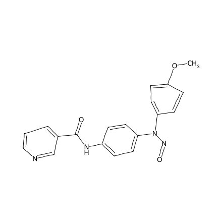 COc1ccc(N(N=O)c2ccc(NC(=O)c3cccnc3)cc2)cc1